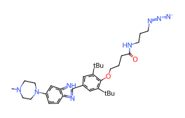 CN1CCN(c2ccc3nc(-c4cc(C(C)(C)C)c(OCCCC(=O)NCCCN=[N+]=[N-])c(C(C)(C)C)c4)[nH]c3c2)CC1